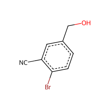 N#Cc1cc(CO)ccc1Br